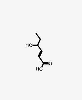 CCC(O)C=CC(=O)O